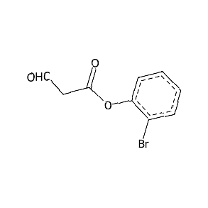 O=CCC(=O)Oc1ccccc1Br